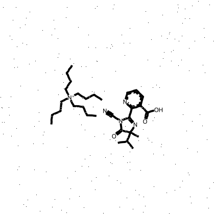 CC(C)C1(C)N=C(c2ncccc2C(=O)O)N(C#N)C1=O.CCCC[N+](CCCC)(CCCC)CCCC